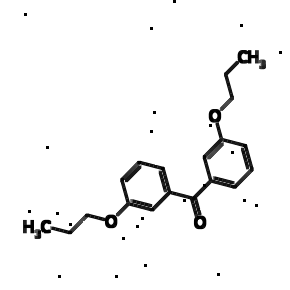 CCCOc1cccc(C(=O)c2cccc(OCCC)c2)c1